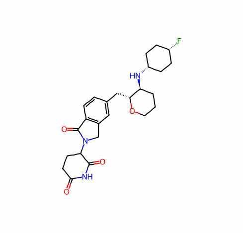 O=C1CCC(N2Cc3cc(C[C@H]4OCCC[C@@H]4N[C@H]4CC[C@@H](F)CC4)ccc3C2=O)C(=O)N1